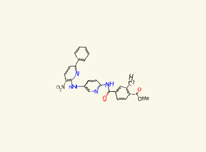 COC(=O)c1ccc(C(=O)Nc2ccc(Nc3nc(-c4ccccc4)ccc3[N+](=O)[O-])cn2)cc1C